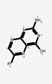 CC(C)c1cnc2nc(N)nc(O)c2n1